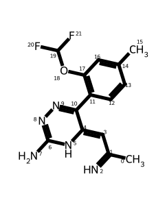 CC(=N)/C=C1\NC(N)=NN=C1c1ccc(C)cc1OC(F)F